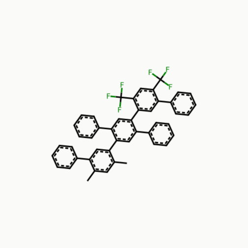 Cc1cc(C)c(-c2cc(-c3ccccc3)c(-c3cc(-c4ccccc4)c(C(F)(F)F)cc3C(F)(F)F)cc2-c2ccccc2)cc1-c1ccccc1